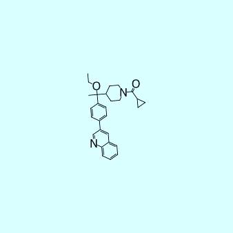 CCOC(C)(c1ccc(-c2cnc3ccccc3c2)cc1)C1CCN(C(=O)C2CC2)CC1